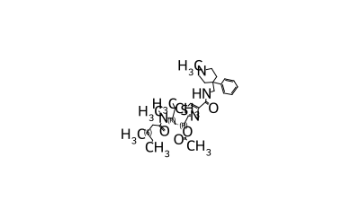 CC[C@H](C)CC(=O)N(C)[C@H](C[C@@H](OC(C)=O)c1nc(C(=O)NCC2(c3ccccc3)CCN(C)CC2)cs1)C(C)C